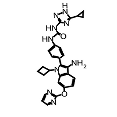 Nc1c(-c2ccc(NC(=O)Nc3n[nH]c(C4CC4)n3)cc2)n(C2CCC2)c2cc(Oc3ncccn3)ccc12